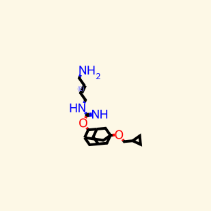 N=C(NC/C=C/CN)OC1C2CC3CC1CC(OCC1CC1)(C3)C2